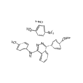 COc1ccc(-c2nnc(Nc3ccc(O)cc3)c3ccccc23)cc1.Cl.Nc1ccc(O)cc1